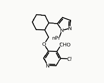 CCCn1nccc1C1CCCCC1COc1cncc(Cl)c1C=O